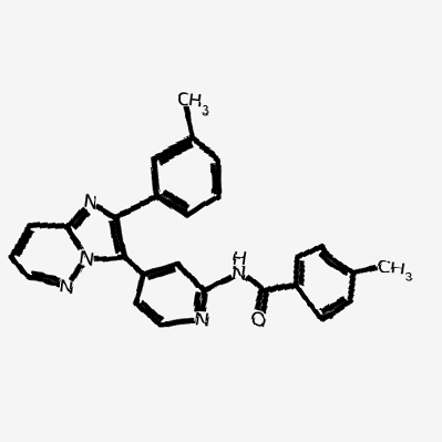 Cc1ccc(C(=O)Nc2cc(-c3c(-c4cccc(C)c4)nc4cccnn34)ccn2)cc1